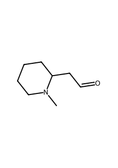 CN1CCCCC1CC=O